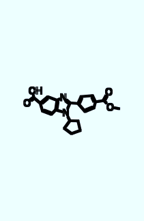 COC(=O)c1ccc(-c2nc3cc(C(=O)O)ccc3n2C2CCCC2)cc1